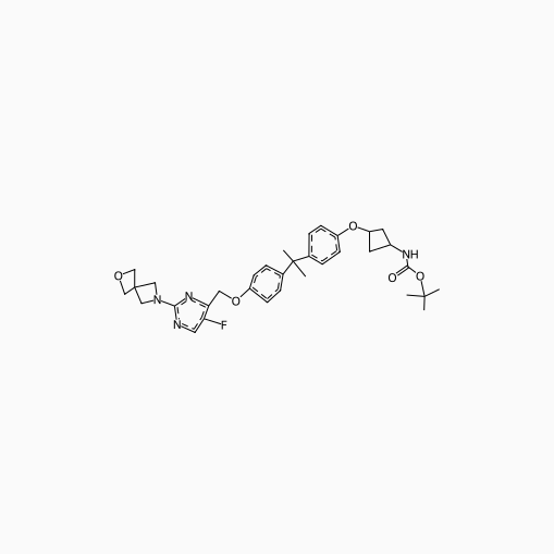 CC(C)(C)OC(=O)NC1CC(Oc2ccc(C(C)(C)c3ccc(OCc4nc(N5CC6(COC6)C5)ncc4F)cc3)cc2)C1